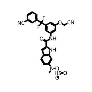 CN(O[SH](=O)=O)c1ccc2cc(C(=O)Nc3cc(OCC#N)cc(C(F)(F)c4cccc(C#N)c4)c3)[nH]c2c1